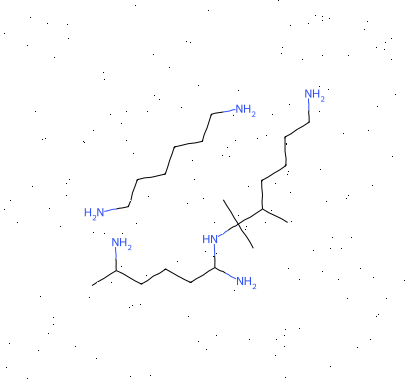 CC(N)CCCC(N)NC(C)(C)C(C)CCCCN.NCCCCCCN